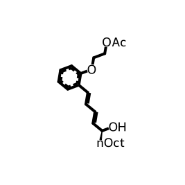 CCCCCCCC[C@H](O)/C=C/C=C/c1ccccc1OCCOC(C)=O